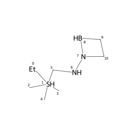 CC[SH](C)(C)(C)CNN1BCC1